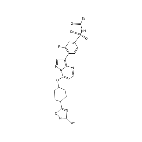 CCC(=O)NS(=O)(=O)c1ccc(-c2cnn3c(OC4CCC(c5nc(C(C)C)no5)CC4)ccnc23)c(F)c1